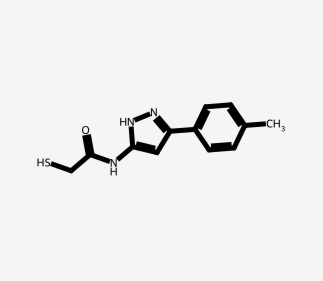 Cc1ccc(-c2cc(NC(=O)CS)[nH]n2)cc1